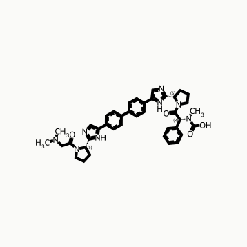 CN(C)CC(=O)N1CCC[C@H]1c1ncc(-c2ccc(-c3ccc(-c4cnc([C@@H]5CCCN5C(=O)[C@@H](c5ccccc5)N(C)C(=O)O)[nH]4)cc3)cc2)[nH]1